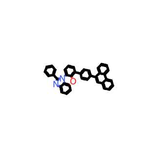 c1ccc(-c2nc3cccc4c3n2-c2cccc(-c3ccc(-c5cc6ccccc6c6ccccc56)cc3)c2O4)cc1